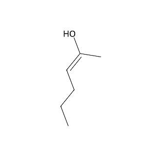 CCC/C=C(\C)O